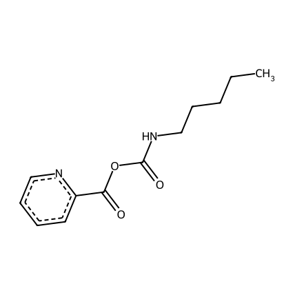 CCCCCNC(=O)OC(=O)c1ccccn1